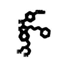 COc1ccc(Nc2nc3ccc(CN(CC(C)C)CC(C)C)cc3n2CCCN2CCCCC2)cc1